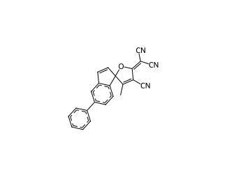 CC1=C(C#N)C(=C(C#N)C#N)OC12C=Cc1cc(-c3ccccc3)ccc12